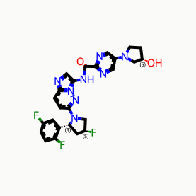 O=C(Nc1cnc2ccc(N3C[C@@H](F)C[C@@H]3c3cc(F)ccc3F)nn12)c1ncc(N2CC[C@H](O)C2)cn1